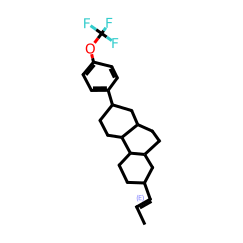 C/C=C/C1CCC2C(CCC3CC(c4ccc(OC(F)(F)F)cc4)CCC32)C1